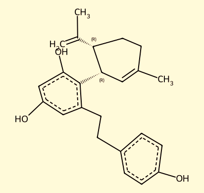 C=C(C)[C@@H]1CCC(C)=C[C@@H]1c1c(O)cc(O)cc1CCc1ccc(O)cc1